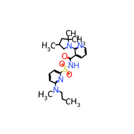 CCCN(C)c1cccc(S(=O)(=O)NC(=O)c2cccnc2N2CC(C)CC2(C)C)n1